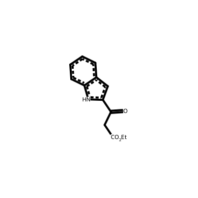 CCOC(=O)CC(=O)c1cc2ccccc2[nH]1